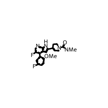 CNC(=O)N1CC=C(c2cc3c(-c4cc(F)ccc4OC)c(F)cnc3[nH]2)CC1